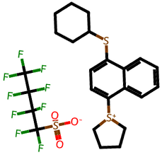 O=S(=O)([O-])C(F)(F)C(F)(F)C(F)(F)C(F)(F)F.c1ccc2c([S+]3CCCC3)ccc(SC3CCCCC3)c2c1